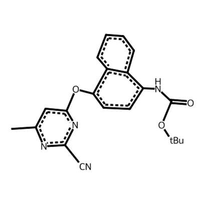 Cc1cc(Oc2ccc(NC(=O)OC(C)(C)C)c3ccccc23)nc(C#N)n1